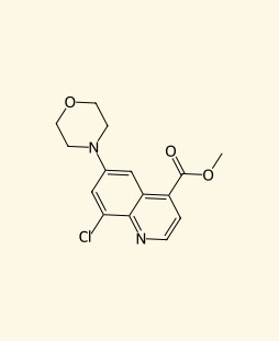 COC(=O)c1ccnc2c(Cl)cc(N3CCOCC3)cc12